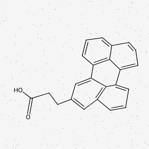 O=C(O)CCc1cc2cccc3c4cccc5cccc(c(c1)c23)c54